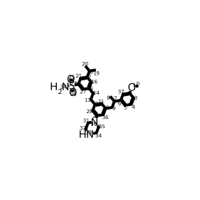 COc1cccc(C(C)Cc2cc(CCc3cc(C(C)C)cc(S(N)(=O)=O)c3)cc(N3CCNCC3)c2)c1